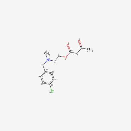 CC(=O)CC(=O)OCCN(C)Cc1ccc(Cl)cc1